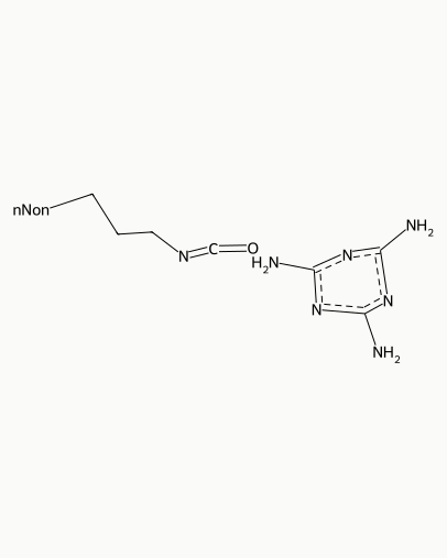 CCCCCCCCCCCCN=C=O.Nc1nc(N)nc(N)n1